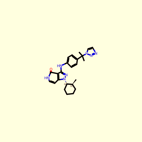 C[C@H]1CCCC[C@@H]1n1nc(Nc2ccc(C(C)(C)n3ccnn3)cc2)c2c(=O)[nH]ccc21